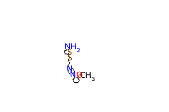 COc1ccccc1N1CCN(CCCSc2ccc(N)s2)CC1